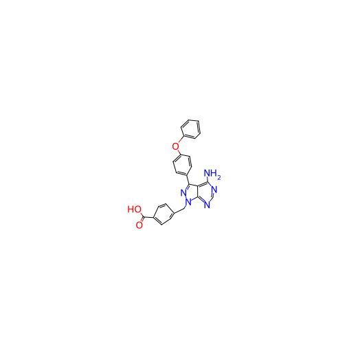 Nc1ncnc2c1c(-c1ccc(Oc3ccccc3)cc1)nn2Cc1ccc(C(=O)O)cc1